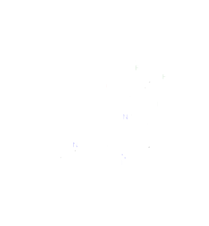 O=C(N1CCNC(CN2CCCC2)C1)C(F)(F)F